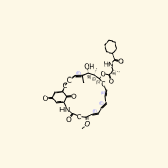 CO[C@H]1/C=C/C=C/C=C/C[C@H](OC(=O)[C@@H](C)NC(=O)C2CCCCC2)[C@@H](C)[C@@H](O)/C(C)=C/CCC2=CC(=O)C=C(NC(=O)C1)C2=O